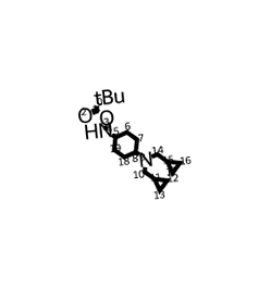 CC(C)(C)C(=O)ONC1CCC(N(CC2CC2)CC2CC2)CC1